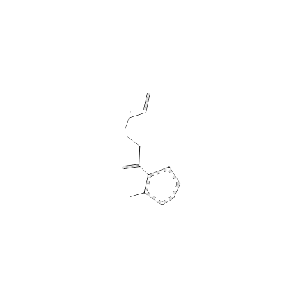 C=C[C@@H](C)OCC(=O)c1ccccc1F